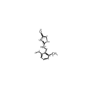 Cc1cccc(CI)c1CNC1=NC(=O)CS1